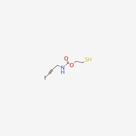 O=C(NCC#CI)OCCS